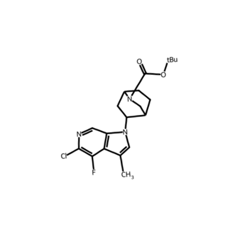 Cc1cn(C2CC3CCC2CN3C(=O)OC(C)(C)C)c2cnc(Cl)c(F)c12